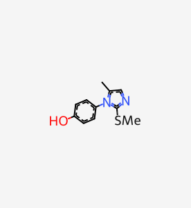 CSc1ncc(C)n1-c1ccc(O)cc1